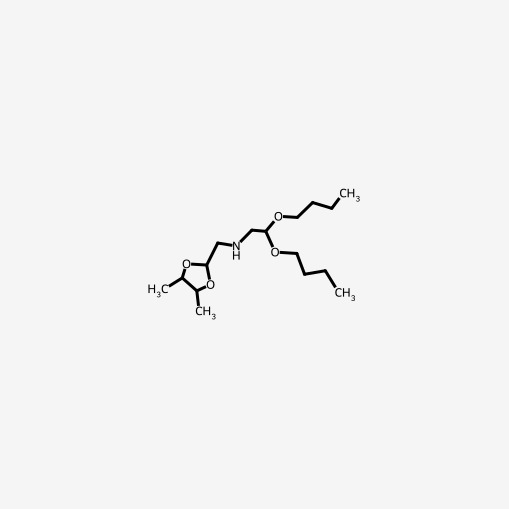 CCCCOC(CNCC1OC(C)C(C)O1)OCCCC